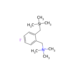 C[N+](C)(C)Cc1ccccc1C[Si](C)(C)C.[I-]